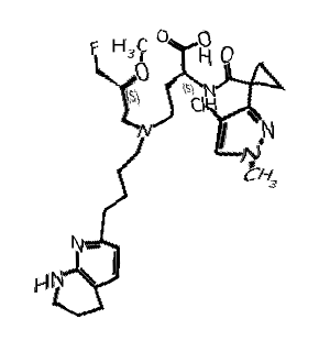 CO[C@H](CF)CN(CCCCc1ccc2c(n1)NCCC2)CC[C@H](NC(=O)C1(c2nn(C)cc2Cl)CC1)C(=O)O